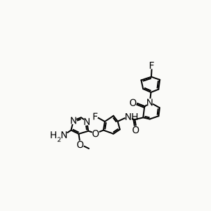 COc1c(N)ncnc1Oc1ccc(NC(=O)c2cccn(-c3ccc(F)cc3)c2=O)cc1F